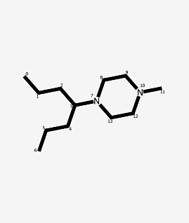 CCCC(CCC)N1CCN(C)CC1